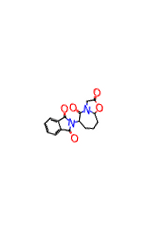 O=C1CN2C(=O)C(N3C(=O)c4ccccc4C3=O)CCCC2O1